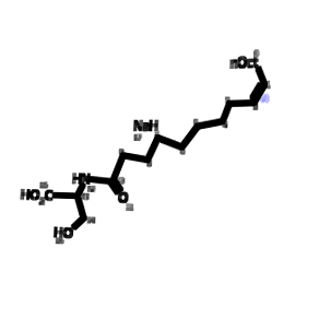 CCCCCCCC/C=C\CCCCCCCC(=O)NC(CO)C(=O)O.[NaH]